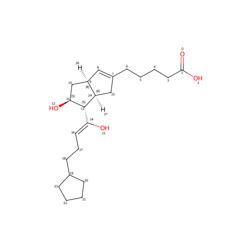 O=C(O)CCCCC1=C[C@@H]2C[C@H](O)[C@@H](C(O)=CCCC3CCCC3)[C@@H]2C1